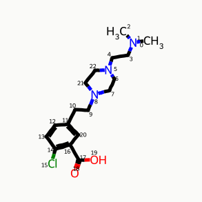 CN(C)CCN1CCN(CCc2ccc(Cl)c(C(=O)O)c2)CC1